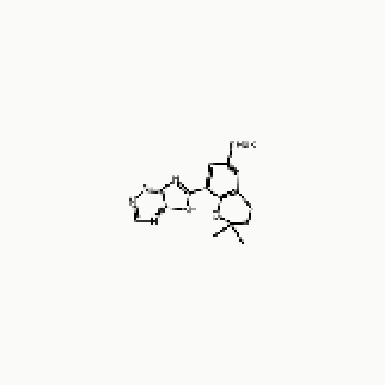 CCCCCCc1cc2c(c(-c3nc4nncnc4[nH]3)c1)OC(C)(C)CC2